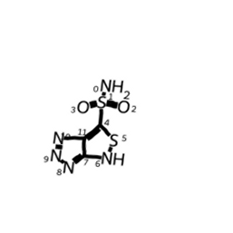 NS(=O)(=O)c1s[nH]c2nnnc1-2